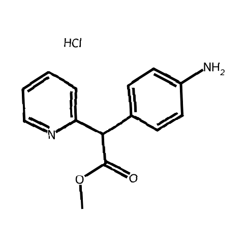 COC(=O)C(c1ccc(N)cc1)c1ccccn1.Cl